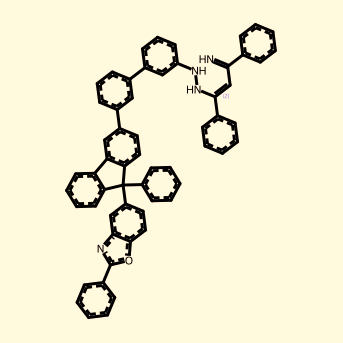 N=C(/C=C(\NNc1cccc(-c2cccc(-c3ccc4c(c3)-c3ccccc3C4(c3ccccc3)c3ccc4oc(-c5ccccc5)nc4c3)c2)c1)c1ccccc1)c1ccccc1